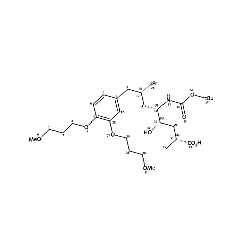 COCCCOc1ccc(C[C@@H](C[C@H](NC(=O)OC(C)(C)C)[C@@H](O)C[C@@H](C)C(=O)O)C(C)C)cc1OCCCOC